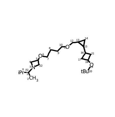 CC(C)[C@H](C)N1CC(OCCCCOCC2CC2C2CC(OC(C)(C)C)C2)C1